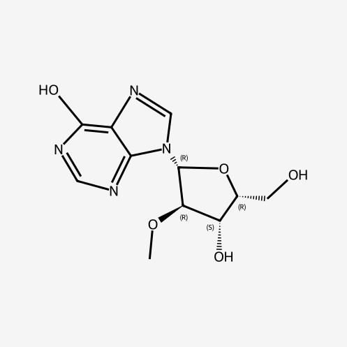 CO[C@@H]1[C@@H](O)[C@@H](CO)O[C@H]1n1cnc2c(O)ncnc21